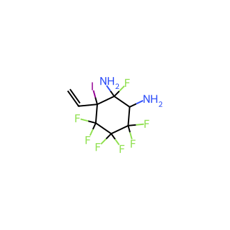 C=CC1(I)C(N)(F)C(N)C(F)(F)C(F)(F)C1(F)F